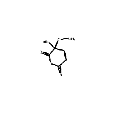 CCCCC1(O[SiH3])CCC(=O)OC1=O